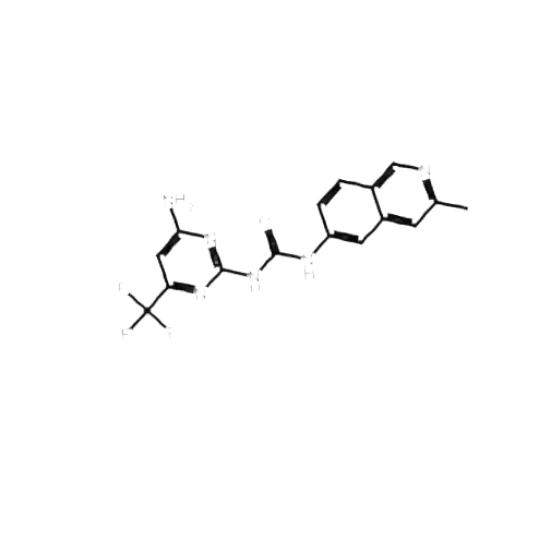 Cc1cc2cc(NC(=O)Nc3nc(N)cc(C(F)(F)F)n3)ccc2cn1